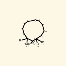 OC1(Br)CCCCCCCCCC(Br)(Br)C1(Br)Br